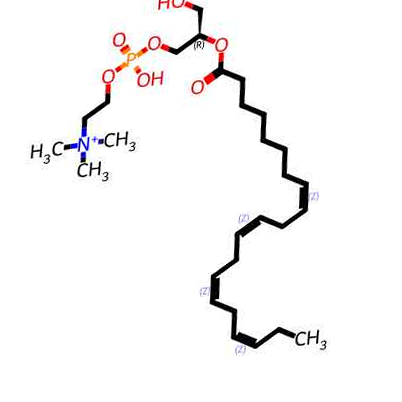 CC/C=C\C/C=C\C/C=C\C/C=C\CCCCCCC(=O)O[C@H](CO)COP(=O)(O)OCC[N+](C)(C)C